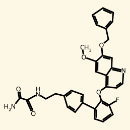 COc1cc2c(Oc3c(F)cccc3-c3ccc(CCNC(=O)C(N)=O)cc3)ccnc2cc1OCc1ccccc1